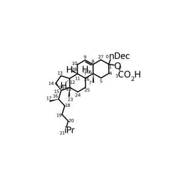 CCCCCCCCCCC1(OC(=O)O)CC[C@@]2(C)C(=CC[C@H]3[C@@H]4CC[C@H]([C@H](C)CCCC(C)C)[C@@]4(C)CC[C@@H]32)C1